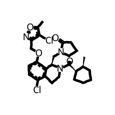 Cc1onc(COc2ccc(Cl)c3c2[C@@H](CN2CCCC2=O)N(C(=O)[C@@H]2CCCC[C@@H]2C)CC3)c1Cl